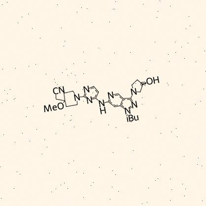 CCC(C)n1nc(N2CC[C@@H](O)C2)c2cnc(Nc3ccnc(N4CCC(CC#N)(OC)CC4)n3)cc21